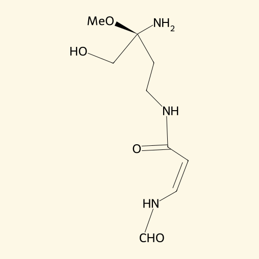 CO[C@](N)(CO)CCNC(=O)/C=C\NC=O